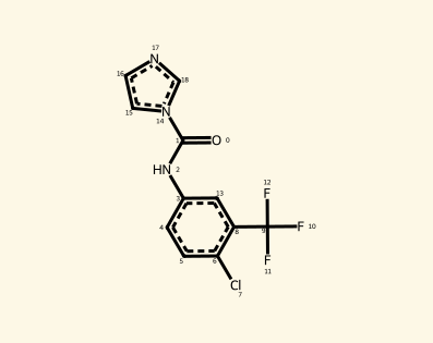 O=C(Nc1ccc(Cl)c(C(F)(F)F)c1)n1ccnc1